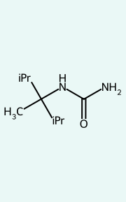 CC(C)C(C)(NC(N)=O)C(C)C